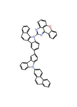 c1ccc2c(c1)Oc1cccc3nc(-n4c5ccc(-c6ccc7c(c6)c6ccccc6n7-c6ccc7c(ccc8ccccc87)c6)cc5c5ccc6ccccc6c54)nc-2c13